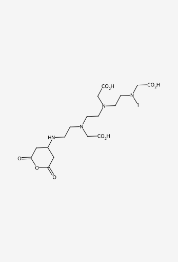 O=C(O)CN(I)CCN(CCN(CCNC1CC(=O)OC(=O)C1)CC(=O)O)CC(=O)O